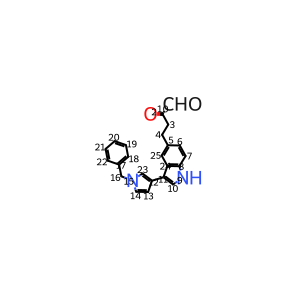 O=CC(=O)CCc1ccc2[nH]cc(-c3ccn(Cc4ccccc4)c3)c2c1